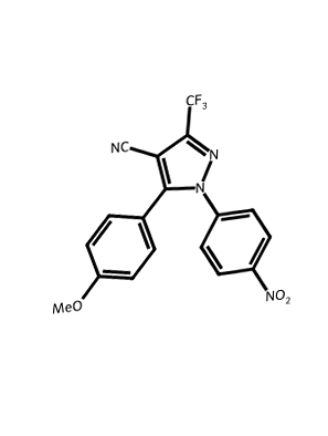 COc1ccc(-c2c(C#N)c(C(F)(F)F)nn2-c2ccc([N+](=O)[O-])cc2)cc1